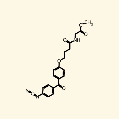 COC(=O)CNC(=O)CCCOc1ccc(C(=O)c2ccc(N=C=S)cc2)cc1